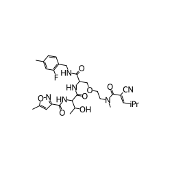 Cc1ccc(CNC(=O)C(COCCN(C)C(=O)C(C#N)=CC(C)C)NC(=O)C(NC(=O)c2cc(C)on2)C(C)O)c(F)c1